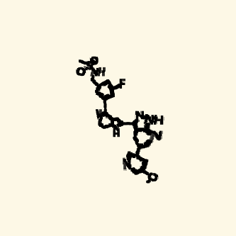 COc1cncc(-c2cnc3[nH]nc(-c4cc5c(-c6cc(F)cc(CNS(C)(=O)=O)c6)nccc5[nH]4)c3c2)c1